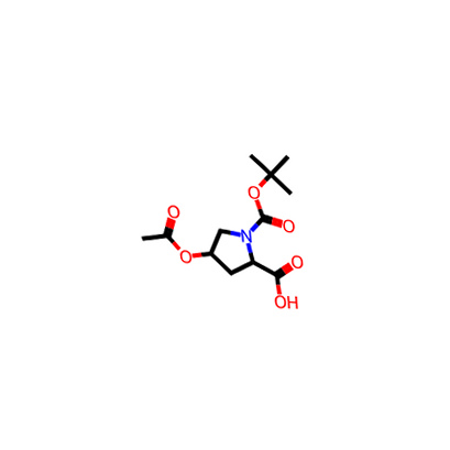 CC(=O)OC1CC(C(=O)O)N(C(=O)OC(C)(C)C)C1